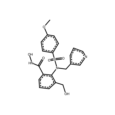 COc1ccc(S(=O)(=O)N(Cc2cccnc2)c2c(CO)cccc2C(=O)NO)cc1